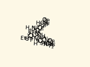 CCOc1cc(CC)cc(C(Nc2ccc3c(N)nccc3c2)c2nc(-c3cc(C)ccc3C(N)=O)c[nH]2)c1F.O=C(O)C(F)(F)F.O=C(O)C(F)(F)F